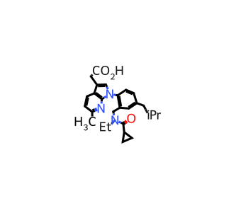 CCN(Cc1cc(CC(C)C)ccc1-n1cc(CC(=O)O)c2ccc(C)nc21)C(=O)C1CC1